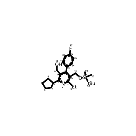 CCc1nc(C2CCCC2)c(CO)c(-c2ccc(F)cc2)c1CO[Si](C)(C)C(C)(C)C